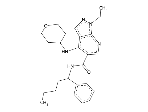 CCCCC(NC(=O)c1cnc2c(cnn2CC)c1NC1CCOCC1)c1ccccc1